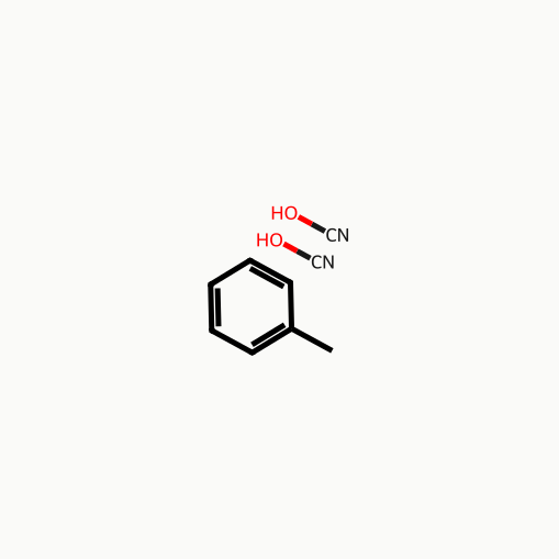 Cc1ccccc1.N#CO.N#CO